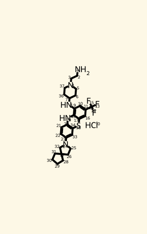 Cl.NCCN1CCC(Nc2cc(C(F)(F)F)cc3c2Nc2ccc(N4CCC5(CCCC5)C4)cc2S3)CC1